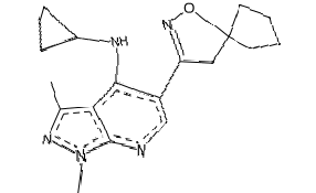 Cc1nn(C)c2ncc(C3=NOC4(CCCC4)C3)c(NC3CC3)c12